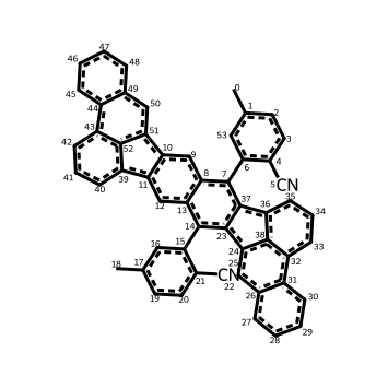 Cc1ccc(C#N)c(-c2c3cc4c(cc3c(-c3cc(C)ccc3C#N)c3c5cc6ccccc6c6cccc(c23)c65)c2cccc3c5ccccc5cc4c32)c1